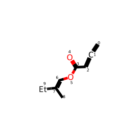 C=C=CC(=O)OC=C(C)CC